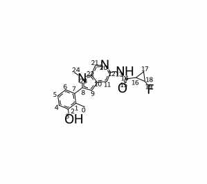 Cc1c(O)cccc1-c1cc2cc(NC(=O)C3CC3F)ncc2n1C